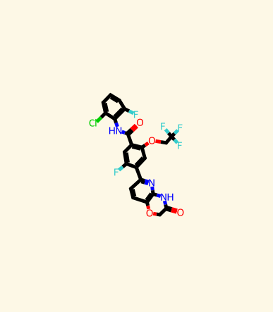 O=C1COc2ccc(-c3cc(OCC(F)(F)F)c(C(=O)Nc4c(F)cccc4Cl)cc3F)nc2N1